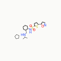 C1CCCC1.CC(C)NCc1ccccc1NS(=O)(=O)c1ccc(-c2ccno2)s1